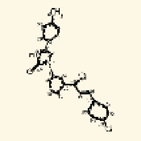 Cc1ccc(-c2cn(-c3cccc(C(=O)/C=C/c4ccc(Cl)cc4)c3)c(=O)[nH]2)cc1